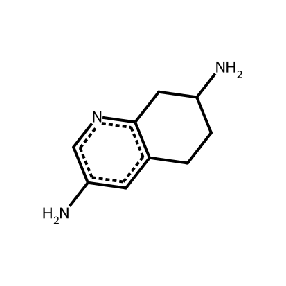 Nc1cnc2c(c1)CCC(N)C2